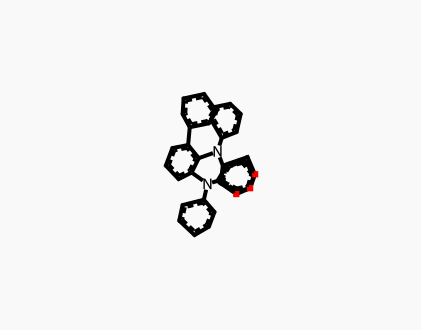 c1ccc(-c2cccc(N(c3ccccc3)c3ccccc3)c2N(c2ccccc2)c2ccccc2)cc1